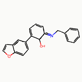 OC1C(c2ccc3occc3c2)=CC=CC1=NCc1ccccc1